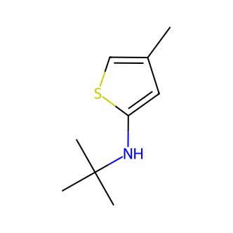 Cc1csc(NC(C)(C)C)c1